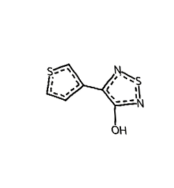 Oc1nsnc1-c1ccsc1